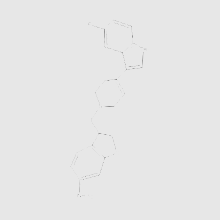 CC(=O)Nc1ccc2c(c1)SCC2CN1CC=C(c2c[nH]c3ccc(F)cc23)CC1